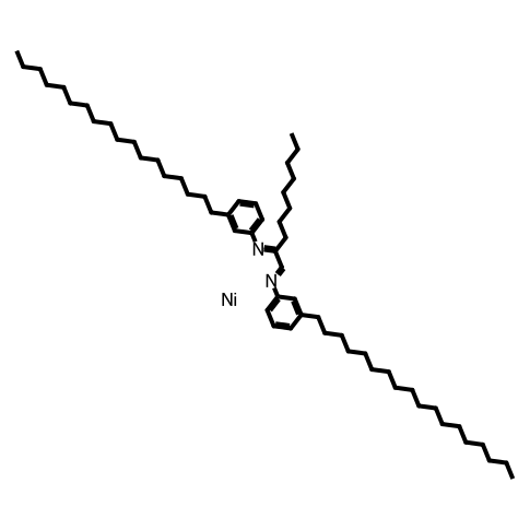 CCCCCCCCCCCCCCCCCCc1cccc(N=CC(CCCCCCCC)=Nc2cccc(CCCCCCCCCCCCCCCCCC)c2)c1.[Ni]